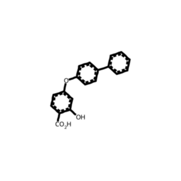 O=C(O)c1ccc(Oc2ccc(-c3ccccc3)cc2)cc1O